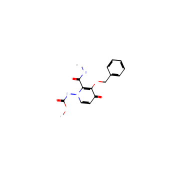 CCCNC(=O)c1c(OCc2ccccc2)c(=O)ccn1NC(=O)OC(C)(C)C